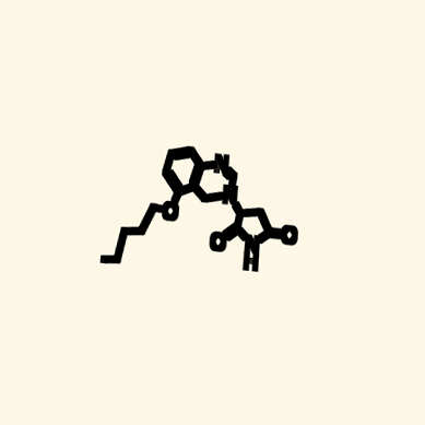 CCCCCOc1cccc2c1CN(C1CC(=O)NC1=O)C=N2